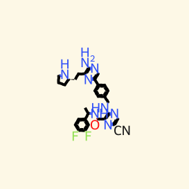 CC(NC(=O)c1nc(C#N)cnc1NCc1ccc(-c2cnc(N)c(CC[C@@H]3CCCN3)n2)cc1)c1ccc(F)c(F)c1